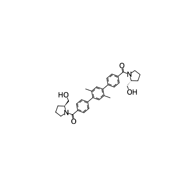 Cc1cc(-c2ccc(C(=O)N3CCC[C@@H]3CO)cc2)c(C)cc1-c1ccc(C(=O)N2CCC[C@H]2CO)cc1